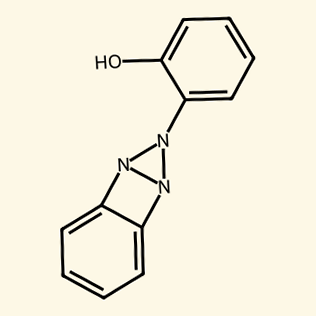 Oc1ccccc1-n1n2c3ccccc3n12